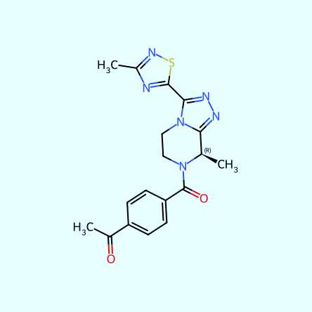 CC(=O)c1ccc(C(=O)N2CCn3c(-c4nc(C)ns4)nnc3[C@H]2C)cc1